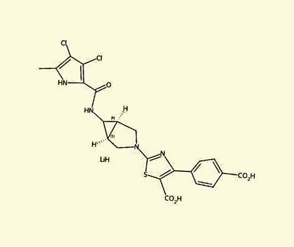 Cc1[nH]c(C(=O)NC2[C@H]3CN(c4nc(-c5ccc(C(=O)O)cc5)c(C(=O)O)s4)C[C@@H]23)c(Cl)c1Cl.[LiH]